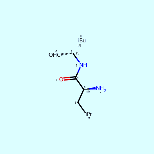 CC[C@H](C)[C@@H]([C]=O)NC(=O)[C@@H](N)CC(C)C